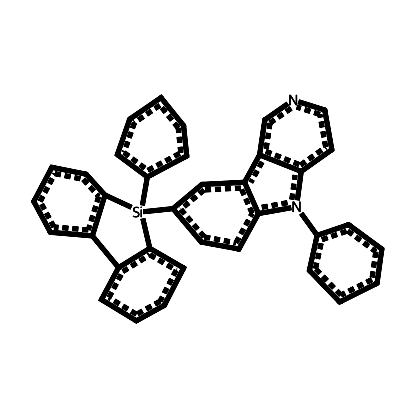 c1ccc(-n2c3ccncc3c3cc([Si]4(c5ccccc5)c5ccccc5-c5ccccc54)ccc32)cc1